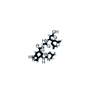 C=C(Cl)/C=C(\C=C(C)C)C(CC(=O)O)NC(=O)CNC(=O)c1cc(NC2=NCC(F)CN2)c2cn[nH]c2c1